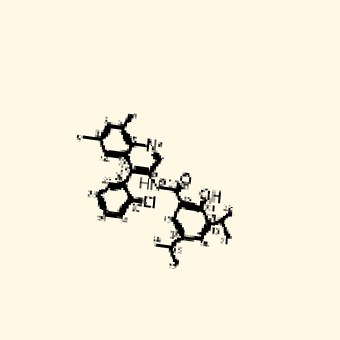 Cc1cc(C)c2ncc(NC(=O)c3cc(C(C)C)cc(C(C)C)c3O)c(-c3ccccc3Cl)c2c1